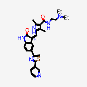 CCN(CC)CCNC(=O)c1c(C)[nH]c(/C=C2\C(=O)Nc3ccc(-c4csc(-c5cccnc5)n4)cc32)c1C